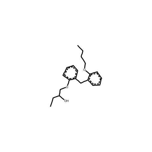 CCCCOc1ccccc1Cc1ccccc1OCC(O)CC